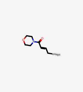 CCCCCCCC/C=C/C(=O)N1CCOCC1